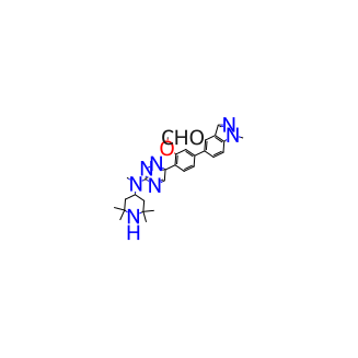 CN(c1ncc(-c2ccc(-c3ccc4c(cnn4C)c3)cc2OC=O)nn1)C1CC(C)(C)NC(C)(C)C1